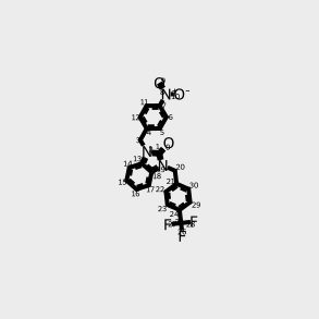 O=c1n(Cc2ccc([N+](=O)[O-])cc2)c2ccccc2n1Cc1ccc(C(F)(F)F)cc1